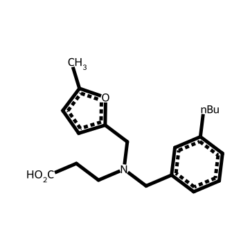 CCCCc1cccc(CN(CCC(=O)O)Cc2ccc(C)o2)c1